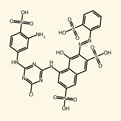 Nc1cc(Nc2nc(Cl)nc(Nc3cc(S(=O)(=O)O)cc4cc(S(=O)(=O)O)c(/N=N/c5ccccc5S(=O)(=O)O)c(O)c34)n2)ccc1S(=O)(=O)O